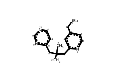 CC(C)(C)Cc1ccnc(CC(C)(C)Cc2ccncn2)c1